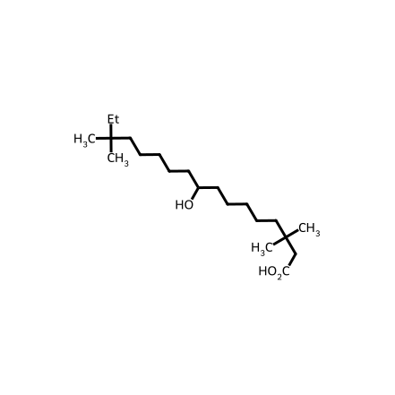 CCC(C)(C)CCCCCC(O)CCCCCC(C)(C)CC(=O)O